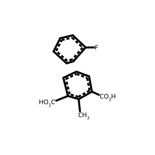 Cc1c(C(=O)O)cccc1C(=O)O.Fc1ccccc1